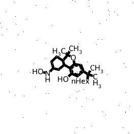 CCCCCCC(C)(C)c1cc(O)c2c(c1)OC(C)(C)C1CCC(NO)CC21